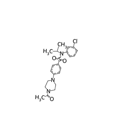 CC(=O)N1CCN(c2ccc(S(=O)(=O)N(c3cccc(Cl)c3)C(C)C)cc2)CC1